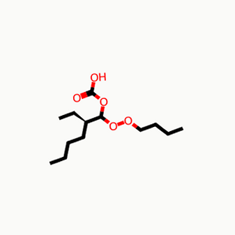 CCCCOOC(OC(=O)O)[C@H](CC)CCCC